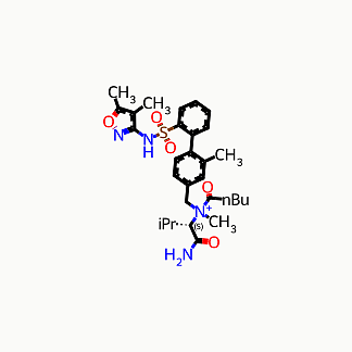 CCCCC(=O)[N+](C)(Cc1ccc(-c2ccccc2S(=O)(=O)Nc2noc(C)c2C)c(C)c1)[C@H](C(N)=O)C(C)C